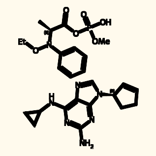 CCON(c1ccccc1)[C@@H](C)C(=O)OP(=O)(O)OC.Nc1nc(NC2CC2)c2ncn([C@H]3C=CCC3)c2n1